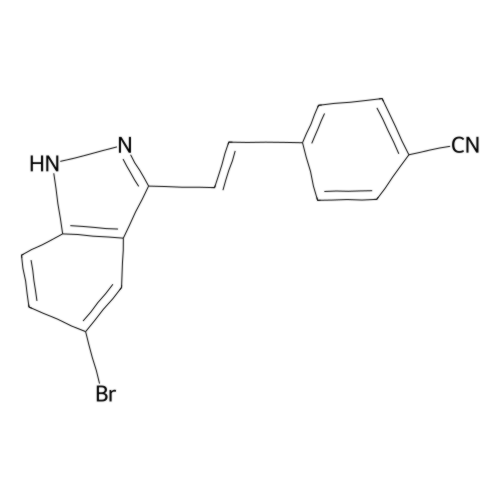 N#Cc1ccc(/C=C/c2n[nH]c3ccc(Br)cc23)cc1